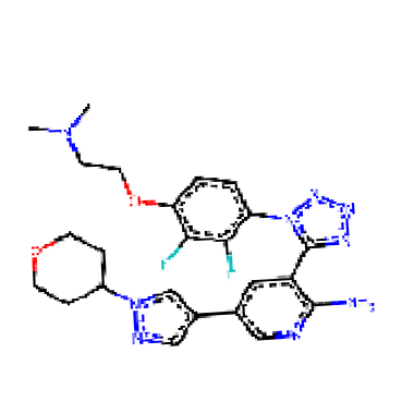 CN(C)CCOc1ccc(-n2nnnc2-c2cc(-c3cnn(C4CCOCC4)c3)cnc2N)c(F)c1F